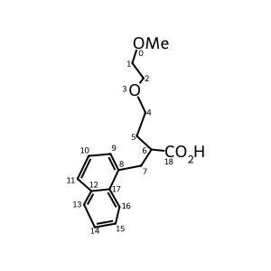 COCCOCCC(Cc1cccc2ccccc12)C(=O)O